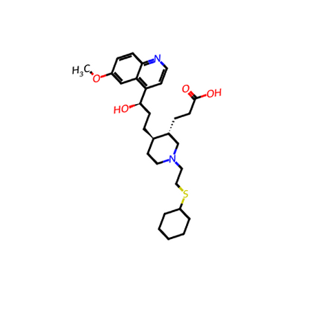 COc1ccc2nccc([C@H](O)CC[C@@H]3CCN(CCSC4CCCCC4)C[C@H]3CCC(=O)O)c2c1